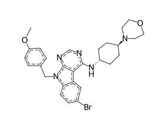 COc1ccc(Cn2c3ccc(Br)cc3c3c(N[C@H]4CC[C@H](N5CCOCC5)CC4)ncnc32)cc1